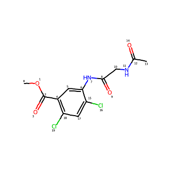 COC(=O)c1cc(NC(=O)CNC(C)=O)c(Cl)cc1Cl